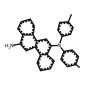 Cc1ccc(N(c2ccc(C)cc2)c2cc3c4ccccc4c(N)cc3c3ccccc23)cc1